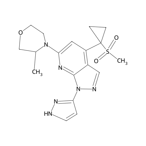 CC1COCCN1c1cc(C2(S(C)(=O)=O)CC2)c2cnn(-c3cc[nH]n3)c2n1